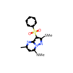 CNc1cc(C)nc2c(S(=O)(=O)c3ccccc3)c(SC)nn12